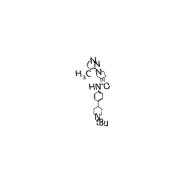 Cc1ccnnc1N1CC[C@H](C(=O)Nc2ccc(C3CCN(C(C)(C)C)CC3)cc2)C1